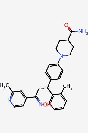 Cc1cc(/C(C[C@H](c2ccc(N3CCC(C(N)=O)CC3)cc2)c2ccccc2C)=N/O)ccn1